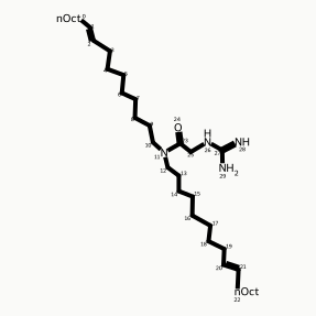 CCCCCCCCC=CCCCCCCCCN(CCCCCCCCC=CCCCCCCCC)C(=O)CNC(=N)N